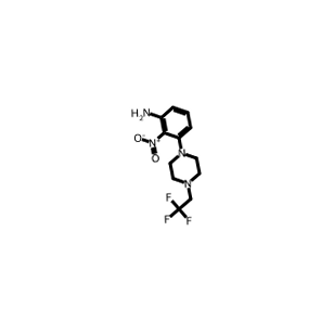 Nc1cccc(N2CCN(CC(F)(F)F)CC2)c1[N+](=O)[O-]